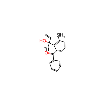 [2H]C(O)(C=C)c1c([SiH3])cccc1C(=O)c1ccccc1